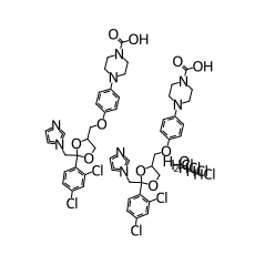 Cl.Cl.Cl.Cl.O.O=C(O)N1CCN(c2ccc(OCC3COC(Cn4ccnc4)(c4ccc(Cl)cc4Cl)O3)cc2)CC1.O=C(O)N1CCN(c2ccc(OCC3COC(Cn4ccnc4)(c4ccc(Cl)cc4Cl)O3)cc2)CC1